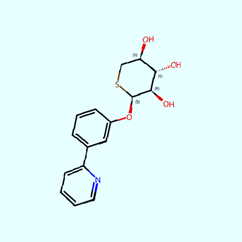 O[C@@H]1[C@@H](O)[C@@H](Oc2cccc(-c3ccccn3)c2)SC[C@H]1O